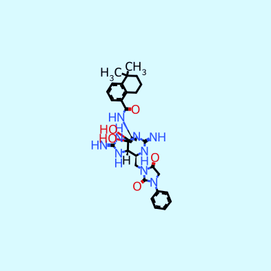 CC1(C)CCCc2c(C(=O)N[C@H]3CN4C(=N)N[C@@H](CN5C(=O)CN(c6ccccc6)C5=O)[C@@H]5NC(=N)N[C@@]54C3(O)O)cccc21